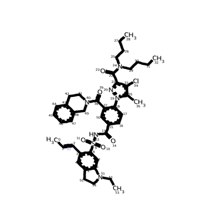 C/C=C/c1cc2c(cc1S(=O)(=O)NC(=O)c1ccc(-n3nc(C(=O)N(CCCC)CCCC)c(Cl)c3C)c(C(=O)N3CCc4ccccc4C3)c1)N(CC)CC2